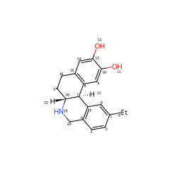 CCc1ccc2c(c1)[C@@H]1c3cc(O)c(O)cc3CC[C@H]1NC2